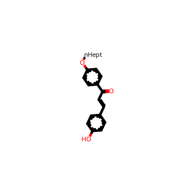 CCCCCCCOc1ccc(C(=O)C=Cc2ccc(O)cc2)cc1